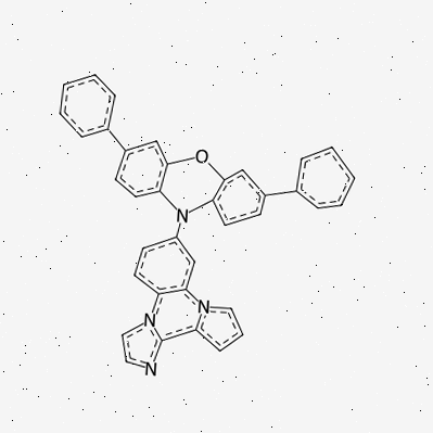 c1ccc(-c2ccc3c(c2)Oc2cc(-c4ccccc4)ccc2N3c2ccc3c(c2)n2cccc2c2nccn32)cc1